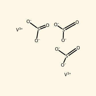 O=S([O-])[O-].O=S([O-])[O-].O=S([O-])[O-].[V+3].[V+3]